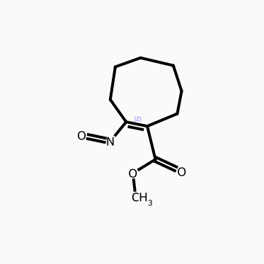 COC(=O)/C1=C(\N=O)CCCCCC1